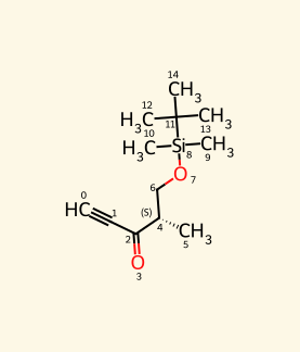 C#CC(=O)[C@@H](C)CO[Si](C)(C)C(C)(C)C